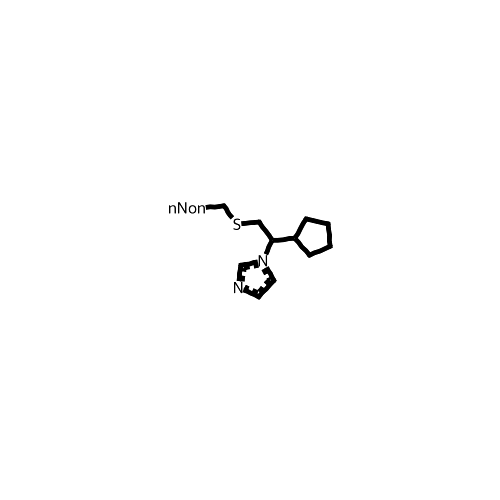 CCCCCCCCCCSCC(C1CCCC1)n1ccnc1